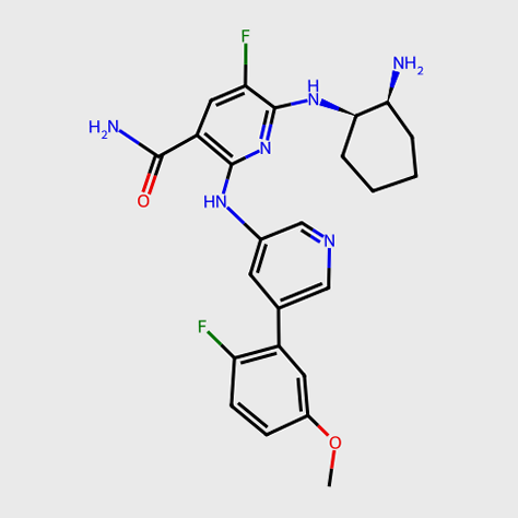 COc1ccc(F)c(-c2cncc(Nc3nc(N[C@@H]4CCCC[C@@H]4N)c(F)cc3C(N)=O)c2)c1